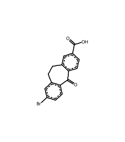 O=C(O)c1ccc2c(c1)CCc1cc(Br)ccc1C2=O